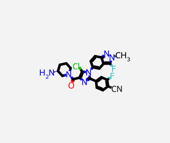 Cn1nc2ccc(-n3c(-c4ccc(C#N)c(F)c4)nc(C(=O)N4CCC[C@@H](N)C4)c3Cl)cc2c1F